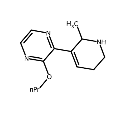 CCCOc1nccnc1C1=CCCNC1C